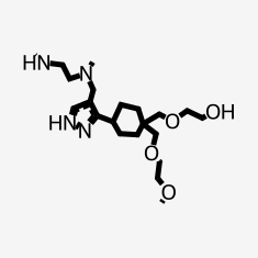 CNCCN(C)Cc1c[nH]nc1C1CCC(COCCO)(COCCOC)CC1